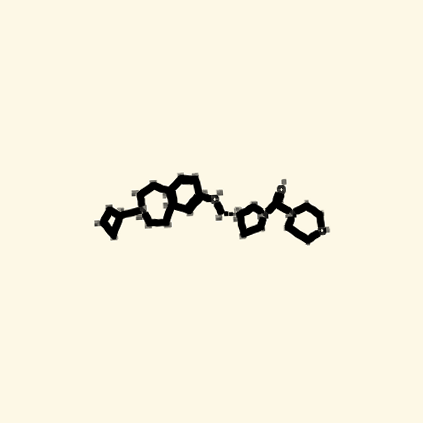 O=C(N1CCOCC1)N1CC[C@H](COc2ccc3c(c2)CCN(C2CCC2)CC3)C1